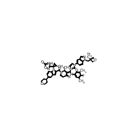 Cc1cc(-n2nc3c(c2-n2ccn(-c4ccc5c(cnn5CC5(C)COC5)c4)c2=O)[C@H](C)N(C(=O)c2cc4cc(C5CCOCC5)ccc4n2[C@@]2(c4noc(=O)[nH]4)C[C@@H]2C)CC3)cc(C)c1F